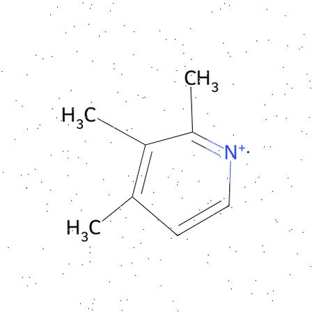 CC1=[N+]C=CC(C)=C1C